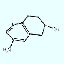 Nc1cnc2c(c1)CC(O)CC2